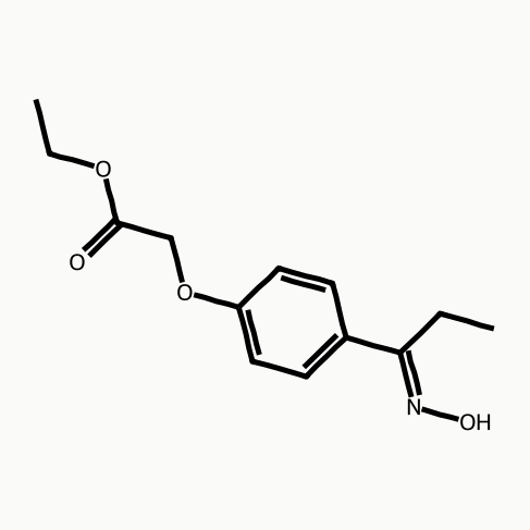 CCOC(=O)COc1ccc(/C(CC)=N/O)cc1